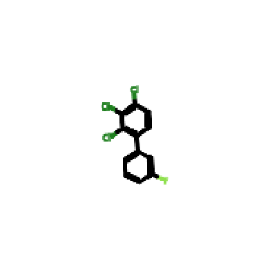 Fc1cccc(-c2ccc(Cl)c(Cl)c2Cl)c1